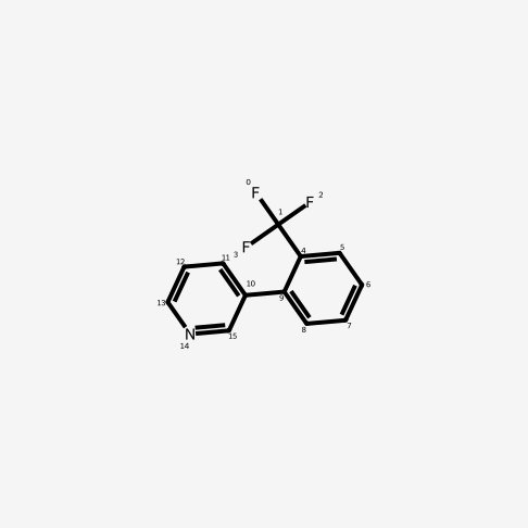 FC(F)(F)c1ccccc1-c1cccnc1